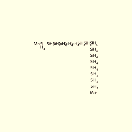 [Mn].[Mn].[SiH4].[SiH4].[SiH4].[SiH4].[SiH4].[SiH4].[SiH4].[SiH4].[SiH4].[SiH4].[SiH4].[SiH4].[SiH4].[SiH4].[SiH4].[SiH4]